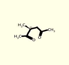 CC(=O)C[C@H](C)C(C)=O